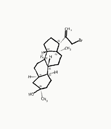 C=C(CBr)[C@H]1CC[C@H]2[C@@H]3CC[C@@H]4C[C@](C)(O)CC[C@@H]4[C@H]3CC[C@]12C